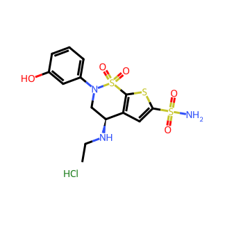 CCN[C@H]1CN(c2cccc(O)c2)S(=O)(=O)c2sc(S(N)(=O)=O)cc21.Cl